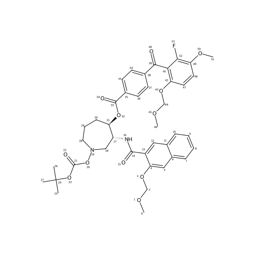 COCOc1cc2ccccc2cc1C(=O)N[C@@H]1CN(OC(=O)OC(C)(C)C)CCC[C@H]1OC(=O)c1ccc(C(=O)c2c(OCOC)ccc(OC)c2F)cc1